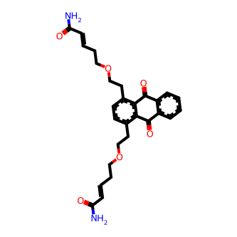 NC(=O)C=CCCOCCc1ccc(CCOCCC=CC(N)=O)c2c1C(=O)c1ccccc1C2=O